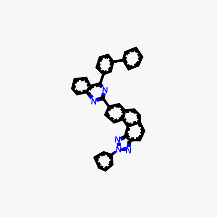 c1ccc(-c2cccc(-c3nc(-c4ccc5c(ccc6ccc7nn(-c8ccccc8)nc7c65)c4)nc4ccccc34)c2)cc1